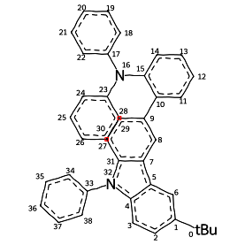 CC(C)(C)c1ccc2c(c1)c1cc(-c3ccccc3N(c3ccccc3)c3ccccc3)ccc1n2-c1ccccc1